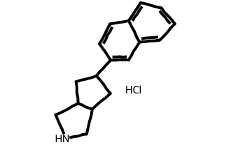 Cl.c1ccc2cc(C3CC4CNCC4C3)ccc2c1